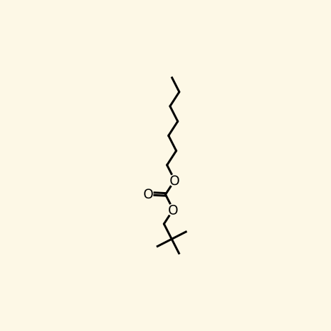 CCCCCCCOC(=O)OCC(C)(C)C